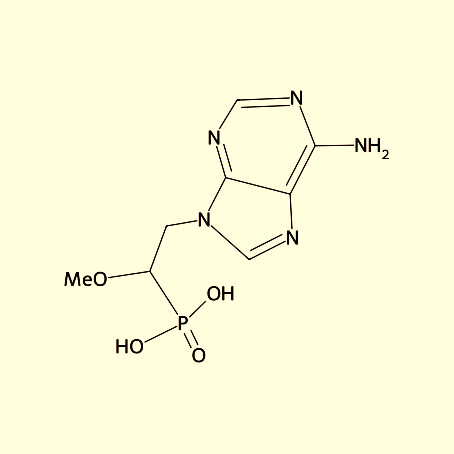 COC(Cn1cnc2c(N)ncnc21)P(=O)(O)O